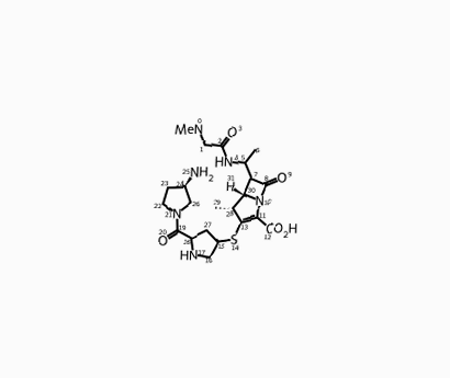 CNCC(=O)NC(C)C1C(=O)N2C(C(=O)O)=C(SC3CNC(C(=O)N4CC[C@@H](N)C4)C3)[C@H](C)[C@H]12